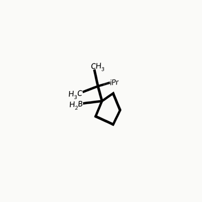 BC1(C(C)(C)C(C)C)CCCC1